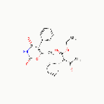 CCOC(=O)C(C(C)=O)c1ccccc1.Cc1oc(=O)[nH]c(=O)c1-c1ccccc1